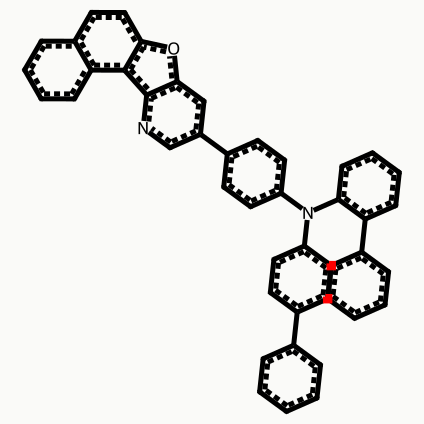 c1ccc(-c2ccc(N(c3ccc(-c4cnc5c(c4)oc4ccc6ccccc6c45)cc3)c3ccccc3-c3ccccc3)cc2)cc1